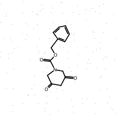 O=C1CC(=O)CN(C(=O)OCc2ccccc2)C1